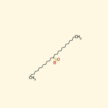 CCCCCCCCCCCCC(CCCCCCCCCCCC)=S(=O)=O